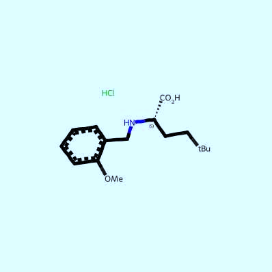 COc1ccccc1CN[C@@H](CCC(C)(C)C)C(=O)O.Cl